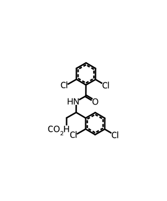 O=C(O)CC(NC(=O)c1c(Cl)cccc1Cl)c1ccc(Cl)cc1Cl